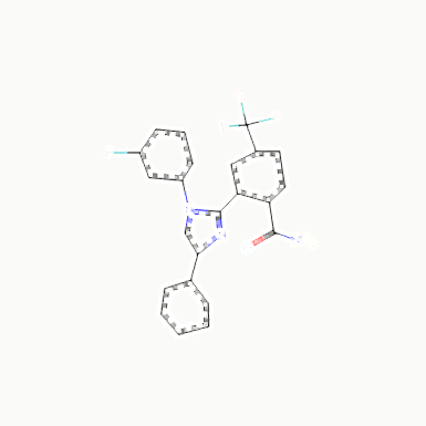 NC(=O)c1ccc(C(F)(F)F)cc1-c1nc(-c2ccccc2)cn1-c1cccc(F)c1